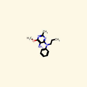 CCCN(c1ccccc1)c1nc(C)nc(OC)c1N